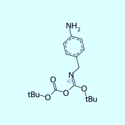 CC(C)(C)OC(=O)O/C(=N/Cc1ccc(N)cc1)OC(C)(C)C